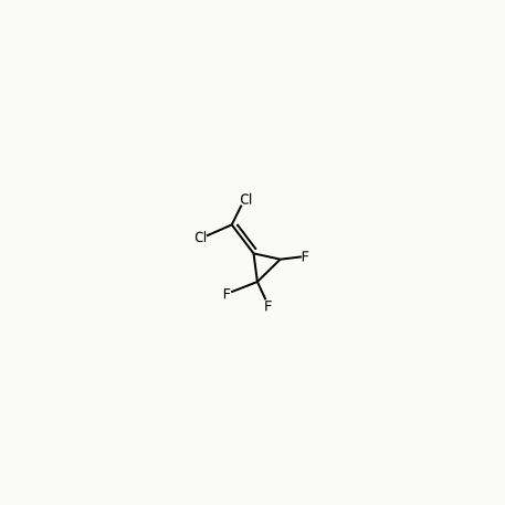 FC1C(=C(Cl)Cl)C1(F)F